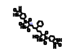 O=C1NC(=O)N(c2ccc3[nH]c(=O)[nH]c3c2)C(=O)/C1=C/C=C(C=Cc1c(O)[nH]c(=O)n(-c2ccc3[nH]c(=O)[nH]c3c2)c1=O)c1ccccc1